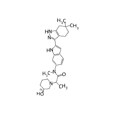 CC(C(=O)N(C)c1ccc2cc(-c3n[nH]c4c3CCC(C)(C)C4)[nH]c2c1)N1CCC[C@H](O)C1